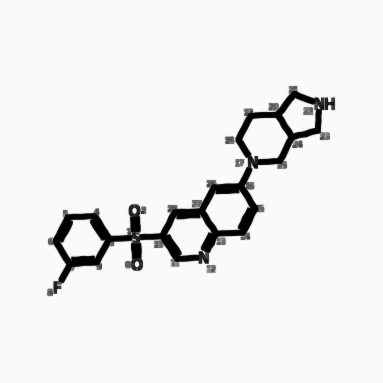 O=S(=O)(c1cccc(F)c1)c1cnc2ccc(N3CCC4CNCC4C3)cc2c1